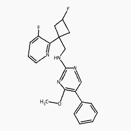 COc1nc(NCC2(c3ncccc3F)CC(F)C2)ncc1-c1ccccc1